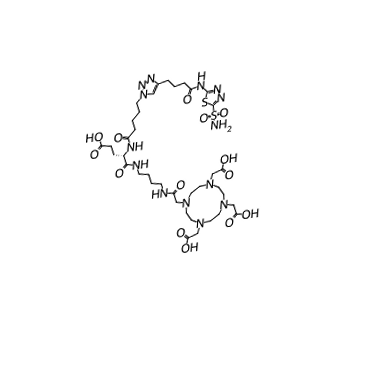 NS(=O)(=O)c1nnc(NC(=O)CCCc2cn(CCCCC(=O)N[C@@H](CCC(=O)O)C(=O)NCCCCNC(=O)CN3CCN(CC(=O)O)CCN(CC(=O)O)CCN(CC(=O)O)CC3)nn2)s1